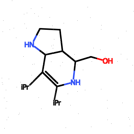 CC(C)C1=C(C(C)C)C2NCCC2C(CO)N1